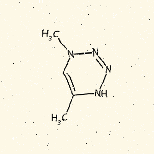 CC1=CN(C)N=NN1